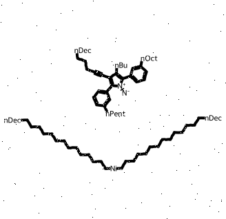 CCCCCCCCCCCCCC#CC1=C(c2cccc(CCCCC)c2)[N+](=[N-])C(c2cccc(CCCCCCCC)c2)=C1CCCC.CCCCCCCCCCCCCCCCCCCCCCC[CH2][Ni][CH2]CCCCCCCCCCCCCCCCCCCCCCC